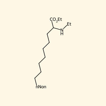 CCCCCCCCCCCCCCCCC(NCC)C(=O)OCC